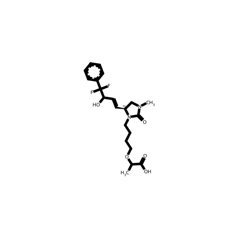 CC(OCCCCN1C(=O)N(C)C[C@@H]1C=CC(O)C(F)(F)c1ccccc1)C(=O)O